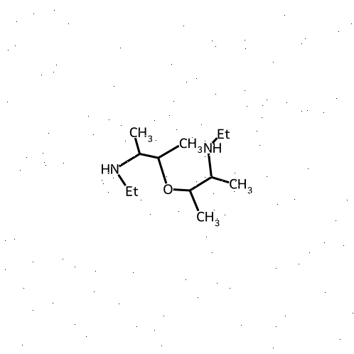 CCNC(C)C(C)OC(C)C(C)NCC